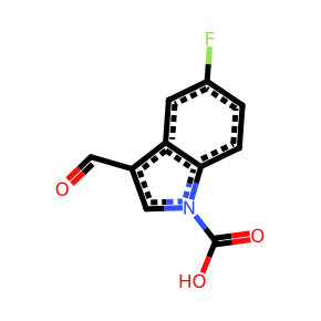 O=Cc1cn(C(=O)O)c2ccc(F)cc12